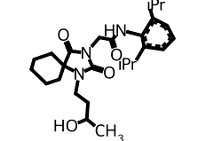 CC(O)CCN1C(=O)N(CC(=O)Nc2c(C(C)C)cccc2C(C)C)C(=O)C12CCCCC2